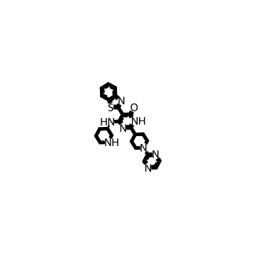 O=c1[nH]c(C2CCN(c3cnccn3)CC2)nc(N[C@@H]2CCCNC2)c1-c1nc2ccccc2s1